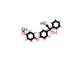 C#CC(O)(c1ccccc1)c1ccc(Oc2ccc(OC)cc2)cc1